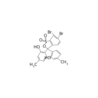 Cc1ccc(C2(c3ccc(C)cc3O)OS(=O)(=O)c3c2ccc(Br)c3Br)c(O)c1